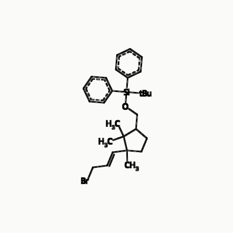 CC1(C=CCBr)CCC(CO[Si](c2ccccc2)(c2ccccc2)C(C)(C)C)C1(C)C